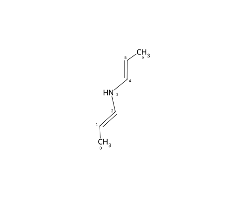 C/C=C/N/C=C/C